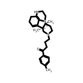 Cc1ccc(C(=O)CCCN2CC[C@]3(C)N4CCNC5=C4C(=CCC5)[C@]3(C)C2)cc1